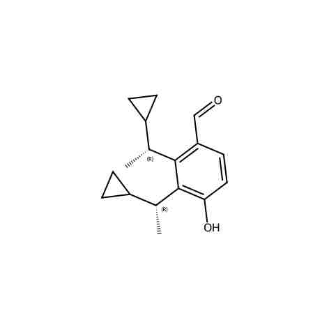 C[C@@H](c1c(O)ccc(C=O)c1[C@H](C)C1CC1)C1CC1